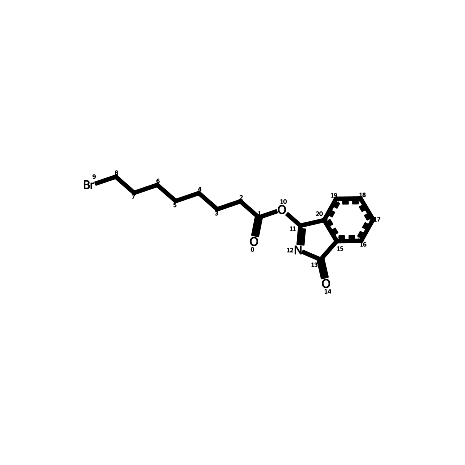 O=C(CCCCCCCBr)OC1=NC(=O)c2ccccc21